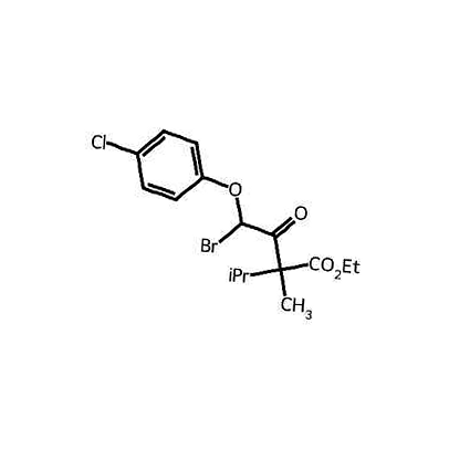 CCOC(=O)C(C)(C(=O)C(Br)Oc1ccc(Cl)cc1)C(C)C